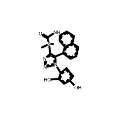 CS(C)(C(N)=O)c1nnn(-c2ccc(O)cc2O)c1-c1cccc2ccccc12